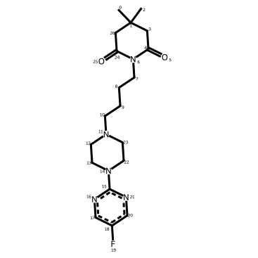 CC1(C)CC(=O)N(CCCCN2CCN(c3ncc(F)cn3)CC2)C(=O)C1